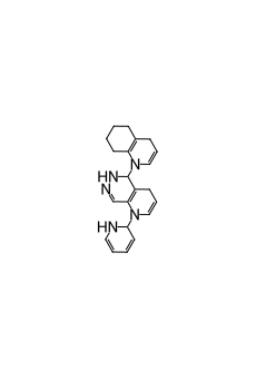 C1=CNC(N2C=CCC3=C2C=NNC3N2C=CCC3=C2CCCC3)C=C1